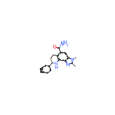 Cc1nc2c3c(c(C(N)=O)cc2n1C)CCC(c1ccccc1)N3